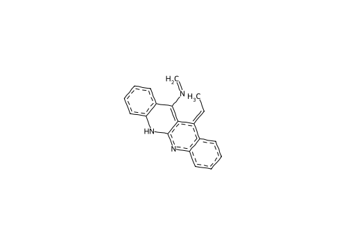 C=NC1=c2c(nc3ccccc3/c2=C/C)Nc2ccccc21